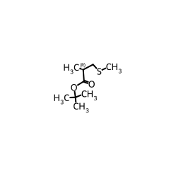 CSC[C@H](C)C(=O)OC(C)(C)C